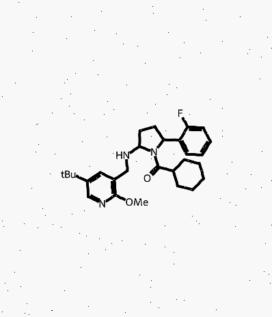 COc1ncc(C(C)(C)C)cc1CNC1CCC(c2ccccc2F)N1C(=O)C1CCCCC1